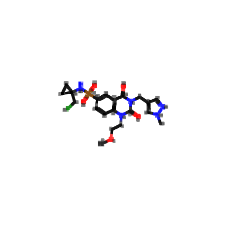 CCOCCn1c(=O)n(Cc2cnn(C)c2)c(=O)c2cc(S(=O)(=O)NC3(CF)CC3)ccc21